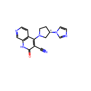 N#Cc1c(N2CC[C@@H](n3ccnc3)C2)c2ccncc2[nH]c1=O